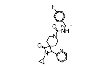 C[C@H](NC(=O)N1CCC2(CC1)C(=O)N(C1CC1)C2c1ccccn1)c1ccc(F)cc1